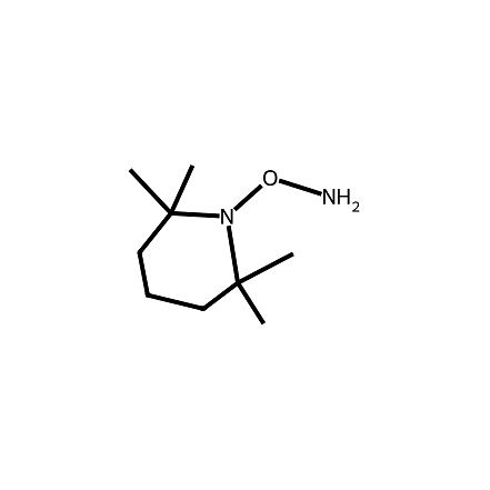 CC1(C)CCCC(C)(C)N1ON